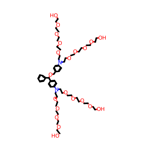 OCCOCCOCCOCCOCCN(CCOCCOCCOCCOCCO)c1ccc(COC(c2ccccc2)c2ccc(N(CCOCCOCCOCCOCCO)CCOCCOCCOCCOCCO)cc2)cc1